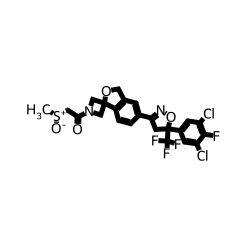 C[S+]([O-])CC(=O)N1CC2(C1)OCc1cc(C3=NOC(c4cc(Cl)c(F)c(Cl)c4)(C(F)(F)F)C3)ccc12